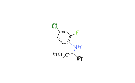 CC(C)C(Nc1ccc(Cl)cc1F)C(=O)O